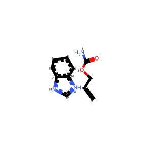 C=CCOC(N)=O.c1ccc2[nH]cnc2c1